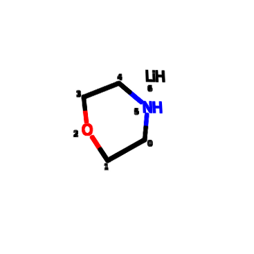 C1COCCN1.[LiH]